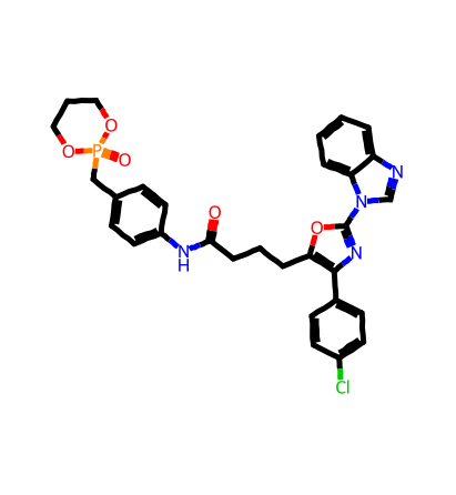 O=C(CCCc1oc(-n2cnc3ccccc32)nc1-c1ccc(Cl)cc1)Nc1ccc(CP2(=O)OCCCO2)cc1